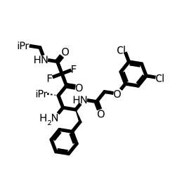 CC(C)CNC(=O)C(F)(F)C(=O)[C@@H](C(C)C)C(N)[C@H](Cc1ccccc1)NC(=O)COc1cc(Cl)cc(Cl)c1